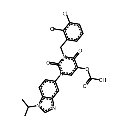 CC(C)n1cnc2cc(-n3cc(OC(=O)O)c(=O)n(Cc4cccc(Cl)c4Cl)c3=O)ccc21